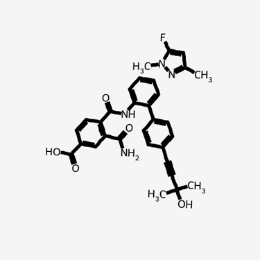 CC(C)(O)C#Cc1ccc(-c2ccccc2NC(=O)c2ccc(C(=O)O)cc2C(N)=O)cc1.Cc1cc(F)n(C)n1